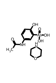 C1COCCN1.CC(=O)Nc1ccc(O)c([As](=O)(O)O)c1